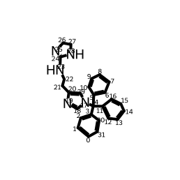 c1ccc(C(c2ccccc2)(c2ccccc2)n2cnc(CCNC3=NCCN3)c2)cc1